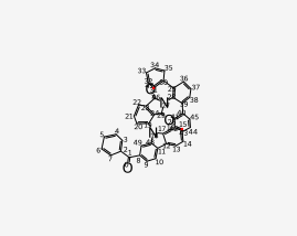 O=C(c1ccccc1)c1ccc2c3ccccc3n(-c3cccc4c3C(=O)N(c3c(-c5ccccc5)cccc3-c3ccccc3)C4=O)c2c1